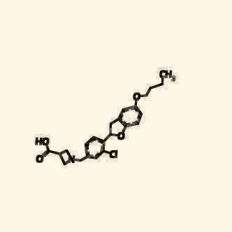 CCCCOc1ccc2c(c1)CC(c1ccc(CN3CC(C(=O)O)C3)cc1Cl)O2